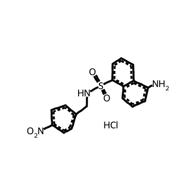 Cl.Nc1cccc2c(S(=O)(=O)NCc3ccc([N+](=O)[O-])cc3)cccc12